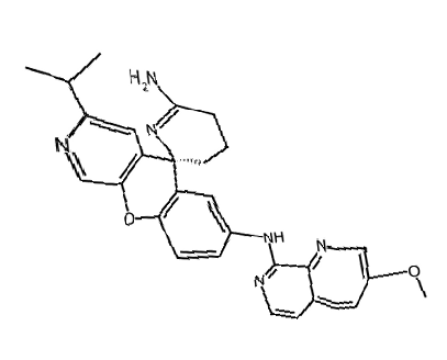 COc1cnc2c(Nc3ccc4c(c3)[C@@]3(CCCC(N)=N3)c3cc(C(C)C)ncc3O4)nccc2c1